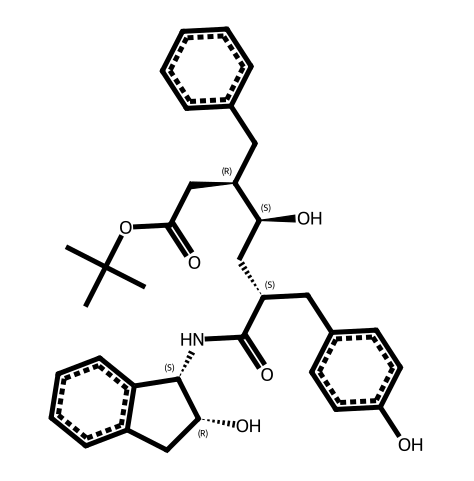 CC(C)(C)OC(=O)C[C@@H](Cc1ccccc1)[C@@H](O)C[C@H](Cc1ccc(O)cc1)C(=O)N[C@H]1c2ccccc2C[C@H]1O